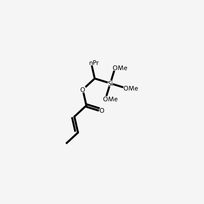 CC=CC(=O)OC(CCC)[Si](OC)(OC)OC